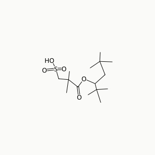 CC(C)(C)CC(OC(=O)C(C)(C)CS(=O)(=O)O)C(C)(C)C